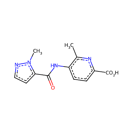 Cc1nc(C(=O)O)ccc1NC(=O)c1ccnn1C